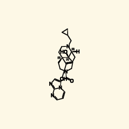 O=C(c1cnc2ncccn12)N1CC[C@]23CCN(CC4CC4)[C@H](Cc4ccc(O)cc42)[C@]3(O)CC1